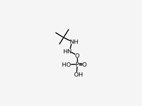 CC(C)(C)NNOP(=O)(O)O